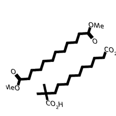 CC(C)(CCCCCCCCCC(=O)O)C(=O)O.COC(=O)CCCCCCCCCCC(=O)OC